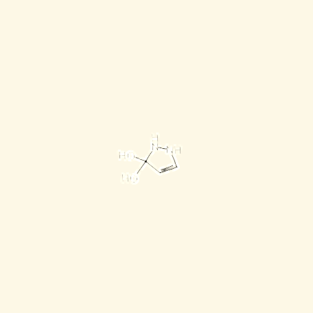 OC1(O)C=CNN1